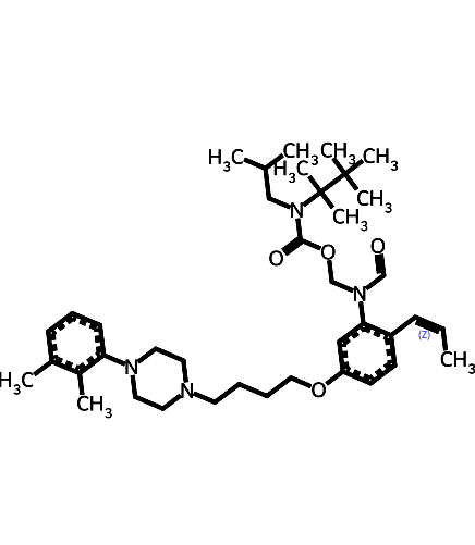 C/C=C\c1ccc(OCCCCN2CCN(c3cccc(C)c3C)CC2)cc1N(C=O)COC(=O)N(CC(C)C)C(C)(C)C(C)(C)C